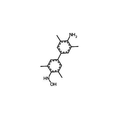 Cc1cc(-c2cc(C)c(NO)c(C)c2)cc(C)c1N